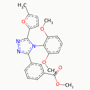 COC(=O)c1cccc(-c2nnc(-c3ccc(C)o3)n2-c2c(OC)cccc2OC)c1